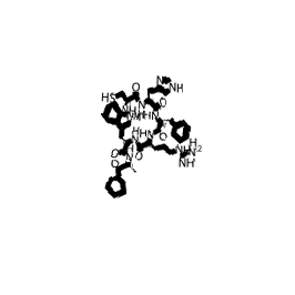 C[C@@H](NC(=O)[C@@H](Cc1c[nH]c2ccccc12)NC(=O)[C@H](CCCNC(=N)N)NC(=O)[C@@H](Cc1ccccc1)NC(=O)[C@H](Cc1c[nH]cn1)NC(=O)[C@@H](N)CS)C(=O)C1CCCCC1